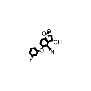 N#Cc1c(Oc2cccc(F)c2)ccc2c1[C@@H](O)CS2(=O)=O